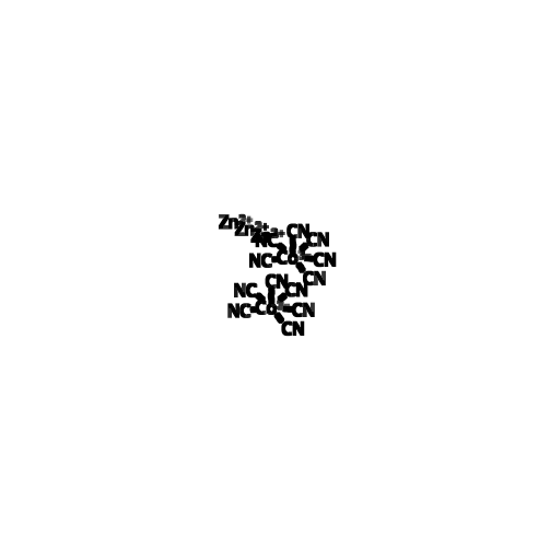 N#[C][Co-3]([C]#N)([C]#N)([C]#N)([C]#N)[C]#N.N#[C][Co-3]([C]#N)([C]#N)([C]#N)([C]#N)[C]#N.[Zn+2].[Zn+2].[Zn+2]